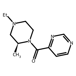 CCN1CCN(C(=O)c2ccncn2)[C@@H](C)C1